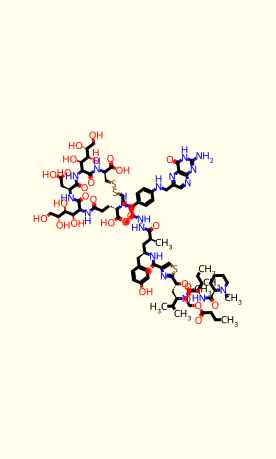 CCCC(=O)OCN(C(=O)[C@@H](NC(=O)[C@H]1CCCCN1C)C(C)CC)[C@H](C[C@@H](OC(C)=O)c1nc(C(=O)N[C@@H](Cc2ccc(O)cc2)C[C@H](C)C(=O)NNC(=O)OCCSSC[C@@H](NC(=O)C(NC(=O)[C@H](CC(O)O)NC(=O)C(NC(=O)CC[C@H](NC(=O)c2ccc(NCc3cnc4nc(N)[nH]c(=O)c4n3)cc2)C(=O)O)[C@@H](O)[C@H](O)[C@H](O)CO)[C@@H](O)[C@H](O)[C@H](O)CO)C(=O)O)cs1)C(C)C